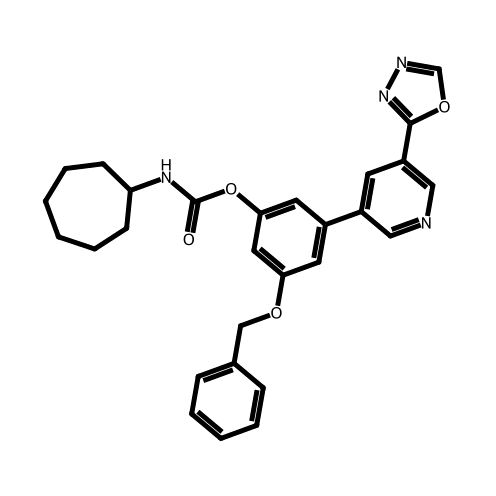 O=C(NC1CCCCCC1)Oc1cc(OCc2ccccc2)cc(-c2cncc(-c3nnco3)c2)c1